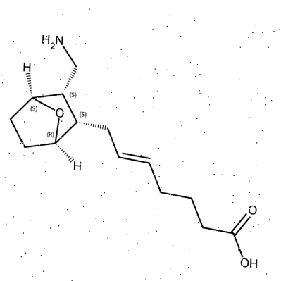 NC[C@@H]1[C@H](CC=CCCCC(=O)O)[C@H]2CC[C@@H]1O2